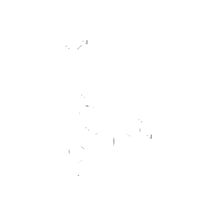 N=C(N)c1ccc(C[C@H](C(=O)NCC2(C(=O)NCC3CCC(C(=N)N)CC3)CCCCC2)c2cccc(Br)c2)cc1